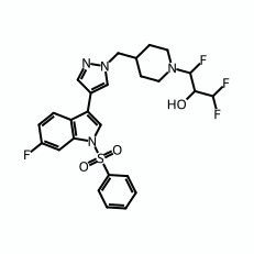 O=S(=O)(c1ccccc1)n1cc(-c2cnn(CC3CCN(C(F)C(O)C(F)F)CC3)c2)c2ccc(F)cc21